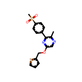 Cc1ncc(OCc2cccs2)nc1-c1ccc(S(C)(=O)=O)cc1